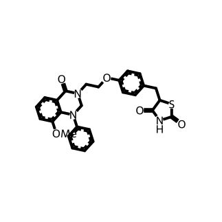 COc1cccc2c1N(c1ccccc1)CN(CCOc1ccc(CC3SC(=O)NC3=O)cc1)C2=O